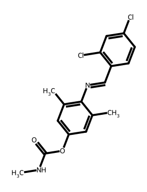 CNC(=O)Oc1cc(C)c(N=Cc2ccc(Cl)cc2Cl)c(C)c1